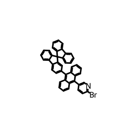 Brc1ccc(-c2c3ccccc3c(-c3ccc4c(c3)C3(c5ccccc5-c5ccccc53)c3ccccc3-4)c3ccccc23)cn1